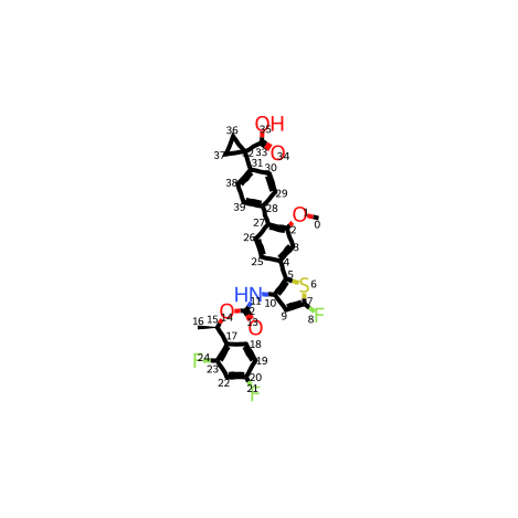 COc1cc(-c2sc(F)cc2NC(=O)O[C@H](C)c2ccc(F)cc2F)ccc1-c1ccc(C2(C(=O)O)CC2)cc1